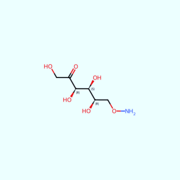 NOC[C@@H](O)[C@H](O)[C@@H](O)C(=O)CO